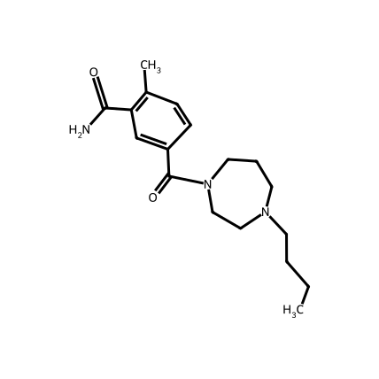 CCCCN1CCCN(C(=O)c2ccc(C)c(C(N)=O)c2)CC1